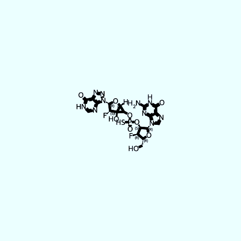 Nc1nc2c(ncn2[C@@H]2O[C@H](CO)[C@@H](F)[C@H]2OP(=O)(S)OC2[C@H]3O[C@@H](n4nnc5c(=O)[nH]cnc54)[C@@H](F)[C@@]23O)c(=O)[nH]1